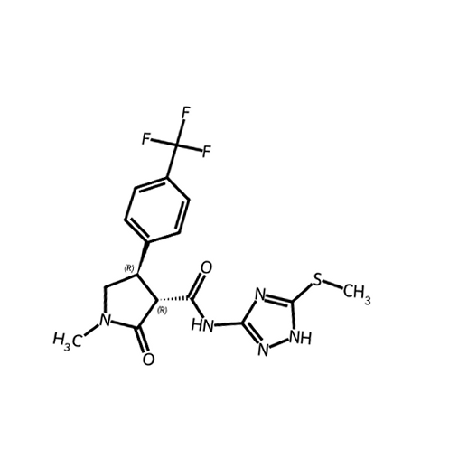 CSc1nc(NC(=O)[C@@H]2C(=O)N(C)C[C@H]2c2ccc(C(F)(F)F)cc2)n[nH]1